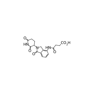 O=C(O)CCC(=O)Nc1cccc2c1CN(C1CCC(=O)NC1=O)C2=O